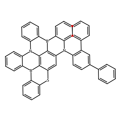 c1ccc(-c2ccc(N3c4ccccc4B4c5ccccc5N5c6ccccc6B6c7ccccc7Sc7cc3c4c5c76)c(-c3ccccc3)c2)cc1